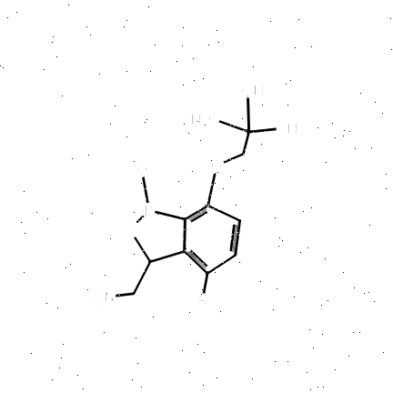 CC(C)(O)COc1ccc(Br)c2c1B(O)OC2CN